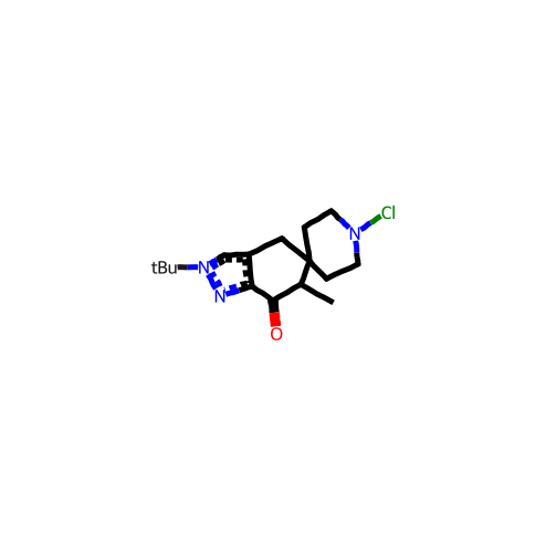 CC1C(=O)c2nn(C(C)(C)C)cc2CC12CCN(Cl)CC2